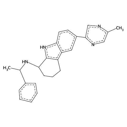 Cc1cnc(-c2ccc3[nH]c4c(c3c2)CCCC4NC(C)c2ccccc2)cn1